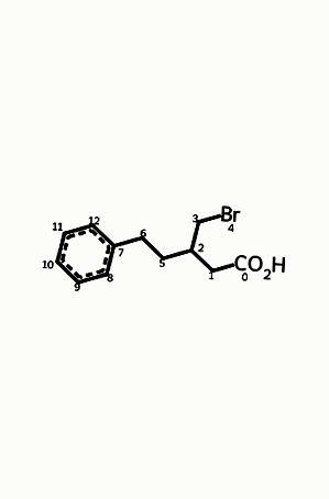 O=C(O)CC(CBr)CCc1ccccc1